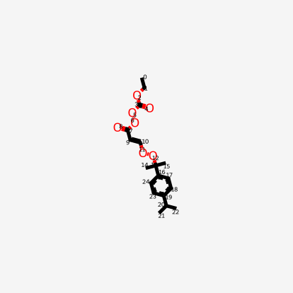 CCOC(=O)OOC(=O)C=COOC(C)(C)c1ccc(C(C)C)cc1